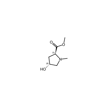 COC(=O)[C@@H]1C[C@@H](O)CN1C